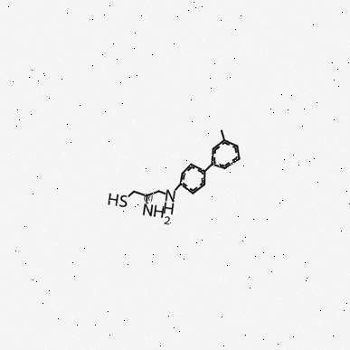 Cc1cccc(-c2ccc(NC[C@@H](N)CS)cc2)c1